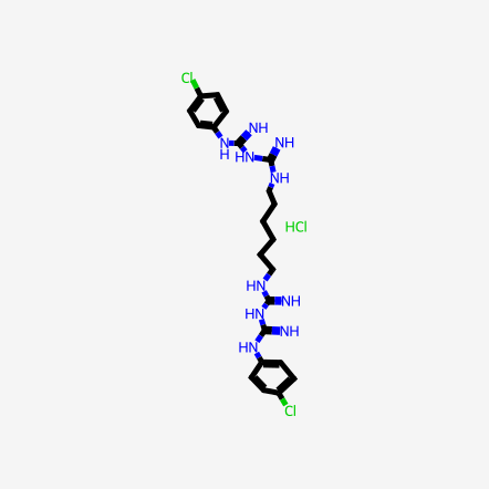 Cl.N=C(NCCCCCCNC(=N)NC(=N)Nc1ccc(Cl)cc1)NC(=N)Nc1ccc(Cl)cc1